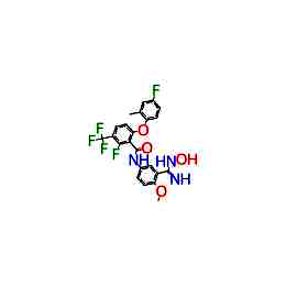 COc1ccc(NC(=O)c2c(Oc3ccc(F)cc3C)ccc(C(F)(F)F)c2F)cc1C(=N)NO